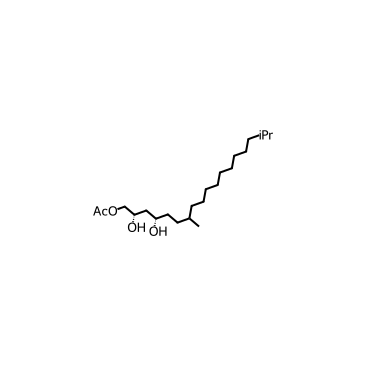 CC(=O)OC[C@@H](O)C[C@@H](O)CCC(C)CCCCCCCCCC(C)C